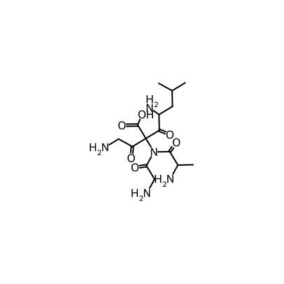 CC(C)CC(N)C(=O)C(C(=O)O)(C(=O)CN)N(C(=O)CN)C(=O)C(C)N